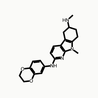 CNC1CCc2c(c3ccc(Nc4ccc5c(c4)OCCO5)nc3n2C)C1